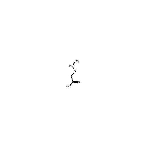 O=C(O)CONP